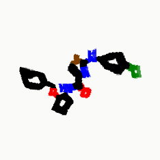 O=C(N[C@@H]1CCC[C@H]1OCc1ccccc1)c1csc(Nc2ccc(Cl)cc2)n1